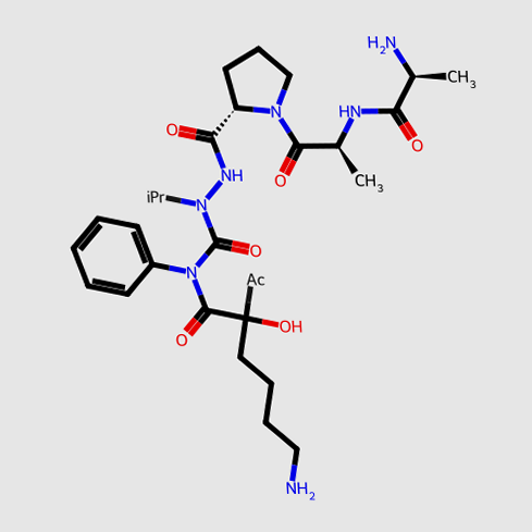 CC(=O)C(O)(CCCCN)C(=O)N(C(=O)N(NC(=O)[C@@H]1CCCN1C(=O)[C@H](C)NC(=O)[C@H](C)N)C(C)C)c1ccccc1